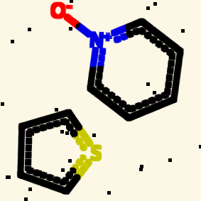 [O-][n+]1ccccc1.c1ccsc1